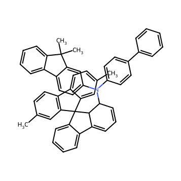 Cc1ccc2c(c1)C1(c3ccccc3C3=CC=CC(N(c4ccc(-c5ccccc5)cc4)c4ccc5c(c4)C(C)(C)c4ccccc4-5)C31)c1cc(C)ccc1-2